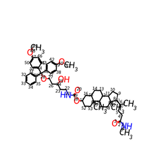 CNC(=O)CC[C@H](C)[C@@H]1CCC2C3CCC4CC(OC(=O)NCCC(O)CCOC(c5ccccc5)(c5ccc(OC)cc5)c5ccc(OC)cc5)CC[C@@]4(C)C3CC[C@]21C